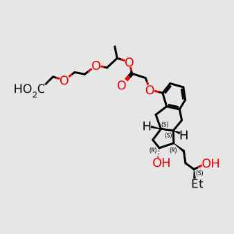 CC[C@H](O)CC[C@@H]1[C@H]2Cc3cccc(OCC(=O)OC(C)COCCOCC(=O)O)c3C[C@H]2C[C@H]1O